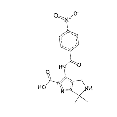 CC1(C)NCc2c1nn(C(=O)O)c2NC(=O)c1ccc([N+](=O)[O-])cc1